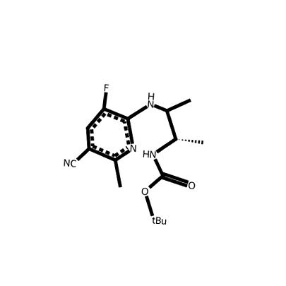 Cc1nc(NC(C)[C@H](C)NC(=O)OC(C)(C)C)c(F)cc1C#N